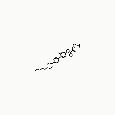 C=C(CO)C(=O)Oc1ccc(-c2ccc(C3CCC(CCCCC)CC3)cc2)c(C)c1